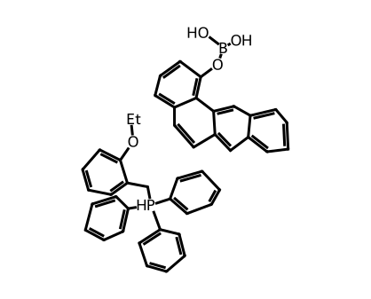 CCOc1ccccc1C[PH](c1ccccc1)(c1ccccc1)c1ccccc1.OB(O)Oc1cccc2ccc3cc4ccccc4cc3c12